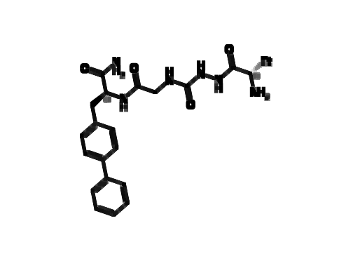 CC[C@H](N)C(=O)NNC(=O)NCC(=O)N[C@@H](Cc1ccc(-c2ccccc2)cc1)C(N)=O